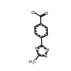 Cc1nnc(-c2ccc(C(=O)Cl)cc2)s1